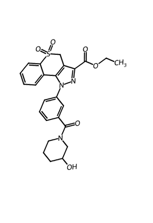 CCOC(=O)c1nn(-c2cccc(C(=O)N3CCCC(O)C3)c2)c2c1CS(=O)(=O)c1ccccc1-2